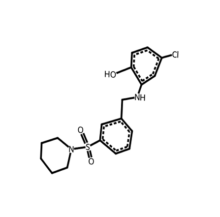 O=S(=O)(c1cccc(CNc2cc(Cl)ccc2O)c1)N1CCCCC1